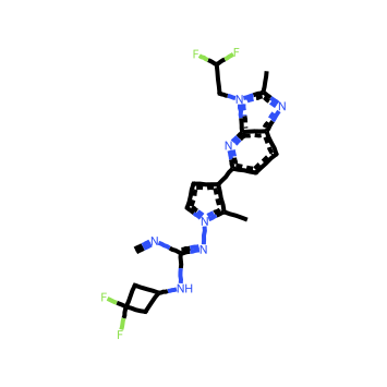 C=N/C(=N\n1ccc(-c2ccc3nc(C)n(CC(F)F)c3n2)c1C)NC1CC(F)(F)C1